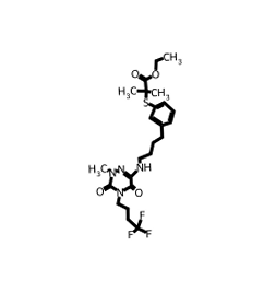 CCOC(=O)C(C)(C)Sc1cccc(CCCCNc2nn(C)c(=O)n(CCCC(F)(F)F)c2=O)c1